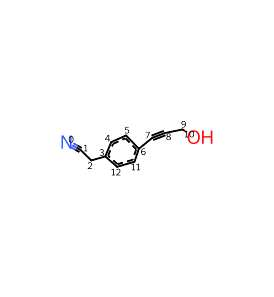 N#CCc1ccc(C#CCO)cc1